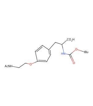 CC(=O)NCCOc1ccc(CC(NC(=O)OC(C)(C)C)C(=O)O)cc1